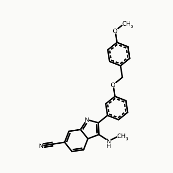 CNC1=C(c2cccc(OCc3ccc(OC)cc3)c2)N=C2C=C(C#N)C=CC21